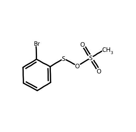 CS(=O)(=O)OSc1ccccc1Br